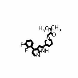 CN(C)C(=O)CN1CCC=C(c2cc3c(-c4cccc(F)c4F)ccnc3[nH]2)C1